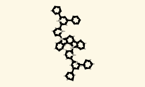 c1ccc(-c2cc(-c3ccccc3)nc(-c3cccc(-n4c5ccccc5c5c4ccc4c6ccccc6n(-c6cccc(-c7cc(-c8ccccc8)cc(-c8ccccc8)n7)n6)c45)n3)c2)cc1